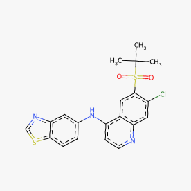 CC(C)(C)S(=O)(=O)c1cc2c(Nc3ccc4scnc4c3)ccnc2cc1Cl